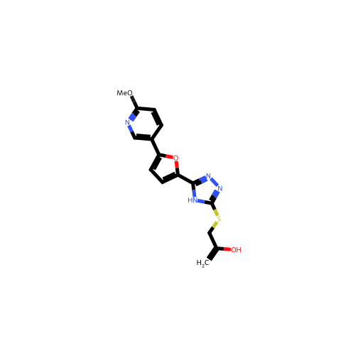 C=C(O)CSc1nnc(-c2ccc(-c3ccc(OC)nc3)o2)[nH]1